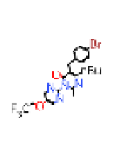 CCCCc1nc(C)n(-c2ncc(OCC(F)(F)F)cn2)c(=O)c1Cc1ccc(Br)cc1